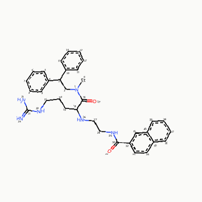 CCN(CC(c1ccccc1)c1ccccc1)C(=O)C(CCCNC(=N)N)NCCNC(=O)c1ccc2ccccc2c1